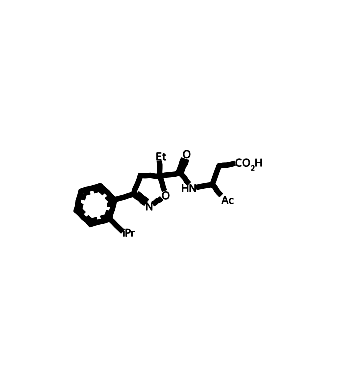 [CH2]C(=O)C(CC(=O)O)NC(=O)C1(CC)CC(c2ccccc2C(C)C)=NO1